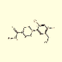 CC(C)Cc1cc(N2CCN(C(=O)OC(C)(C)C)CC2)c(C#N)cc1F